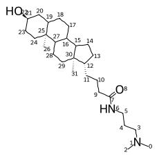 CN(C)CCCNC(=O)CCC[C@H]1CCC2C3CCC4C[C@H](O)CC[C@]4(C)C3CC[C@@]21C